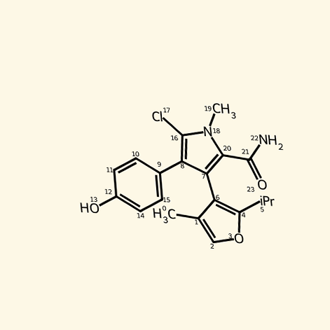 Cc1coc(C(C)C)c1-c1c(-c2ccc(O)cc2)c(Cl)n(C)c1C(N)=O